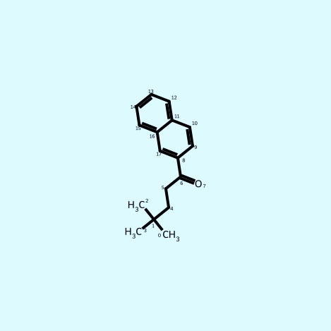 CC(C)(C)CCC(=O)c1ccc2ccccc2c1